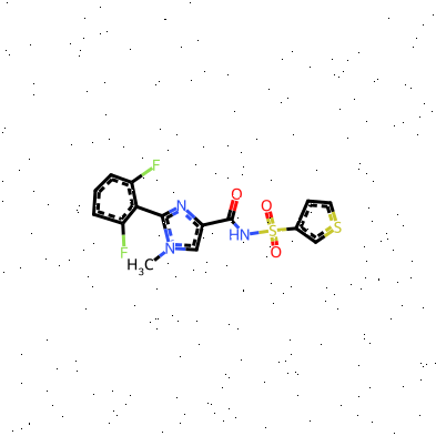 Cn1cc(C(=O)NS(=O)(=O)c2ccsc2)nc1-c1c(F)cccc1F